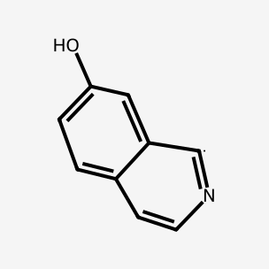 Oc1ccc2ccn[c]c2c1